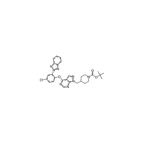 CC(C)(C)OC(=O)N1CCC(Cn2ncc3c(Oc4ccc(Cl)cc4-n4nc5ccccc5n4)ncnc32)CC1